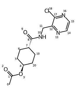 CC(=O)O[C@H]1CC[C@H](C(=O)NCc2nccnc2Cl)CC1